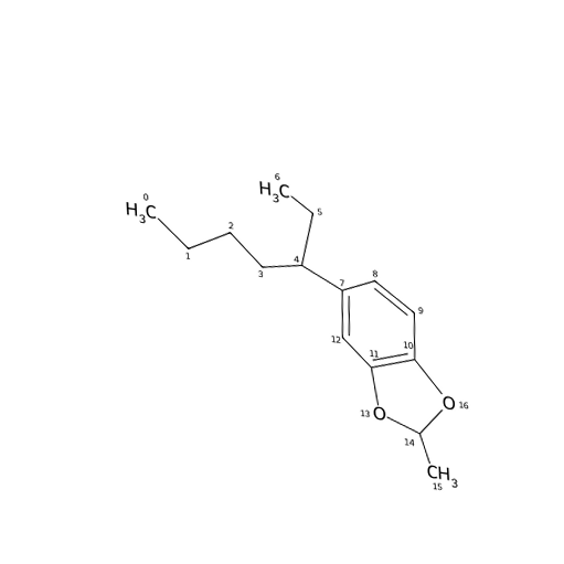 CCCCC(CC)c1ccc2c(c1)OC(C)O2